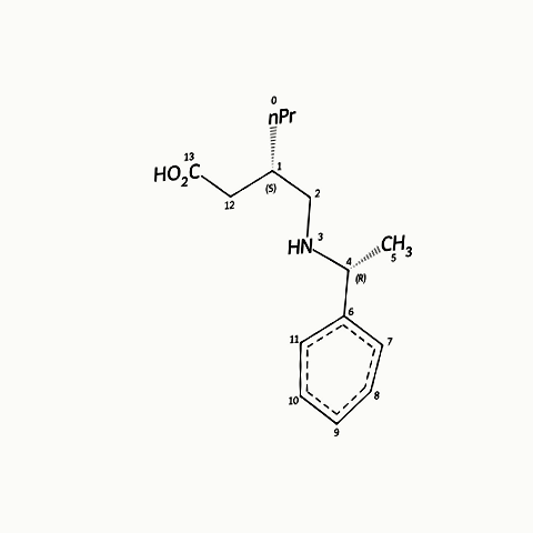 CCC[C@H](CN[C@H](C)c1ccccc1)CC(=O)O